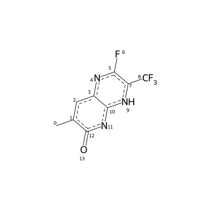 Cc1cc2nc(F)c(C(F)(F)F)[nH]c-2nc1=O